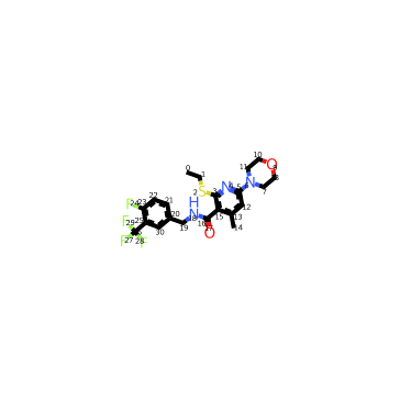 CCSc1nc(N2CCOCC2)cc(C)c1C(=O)NCc1ccc(F)c(C(F)(F)F)c1